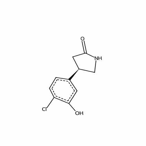 O=C1C[C@H](c2ccc(Cl)c(O)c2)CN1